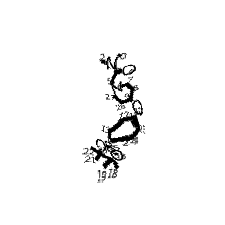 CN(C)C(=O)CN1CCC(Oc2ccc(B3OC(C)(C)C(C)(C)O3)cc2)CC1